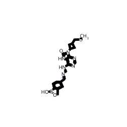 COCC1CC(n2c(=O)[nH]c3c(NC/N=C/c4ccc5c(c4)COB5O)ncnc32)C1